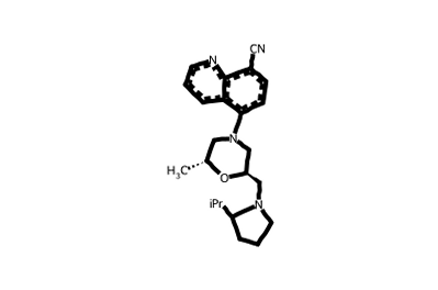 CC(C)C1CCCN1C[C@@H]1CN(c2ccc(C#N)c3ncccc23)C[C@@H](C)O1